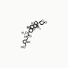 CN(C(=O)NCC1CCCC(CO)N1)[C@H]1CC[C@@]2(C)[C@H](CC[C@@H]3[C@@H]2CC[C@]2(C)[C@@H](c4ccc(=O)oc4)CC[C@]32O)C1